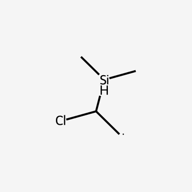 [CH2]C(Cl)[SiH](C)C